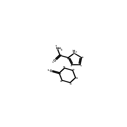 NC(=O)c1ccc[nH]1.O=C1CCCCC1